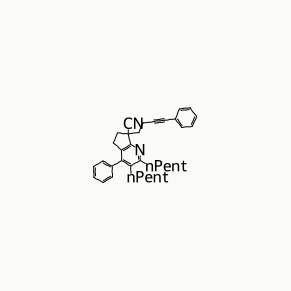 CCCCCc1nc2c(c(-c3ccccc3)c1CCCCC)CCC2(C#N)CCC#Cc1ccccc1